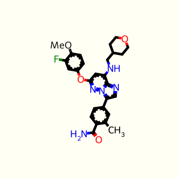 COc1ccc(Oc2cc(NCC3CCOCC3)c3ncc(-c4ccc(C(N)=O)c(C)c4)n3n2)cc1F